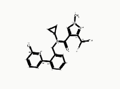 Cn1cc(C(=O)N(Cc2ccccc2-c2cccc(Cl)n2)C2CC2)c(C(F)F)n1